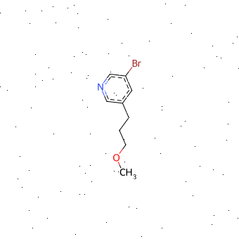 COCCCc1cncc(Br)c1